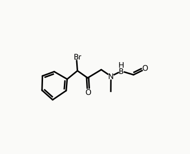 CN(BC=O)CC(=O)C(Br)c1ccccc1